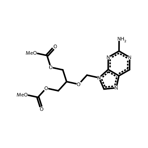 COC(=O)OCC(COC(=O)OC)OCn1cnc2cnc(N)nc21